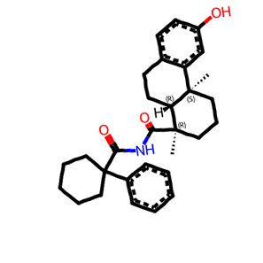 C[C@@]1(C(=O)NC(=O)C2(c3ccccc3)CCCCC2)CCC[C@]2(C)c3cc(O)ccc3CC[C@@H]12